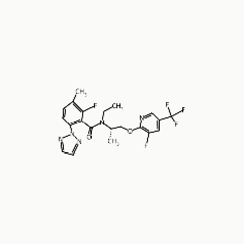 CCN(C(=O)c1c(-n2nccn2)ccc(C)c1F)[C@@H](C)COc1ncc(C(F)(F)F)cc1F